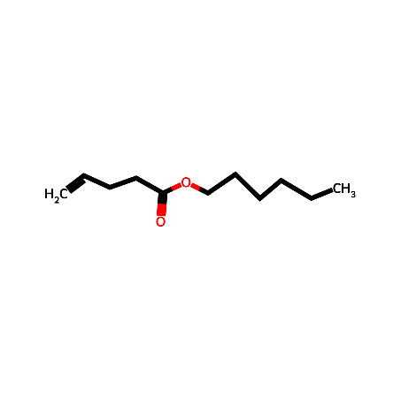 C=CCCC(=O)OCCCCCC